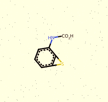 O=C(O)Nc1cccc2c1S2